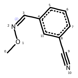 CO/N=[C]\c1cccc(C#N)c1